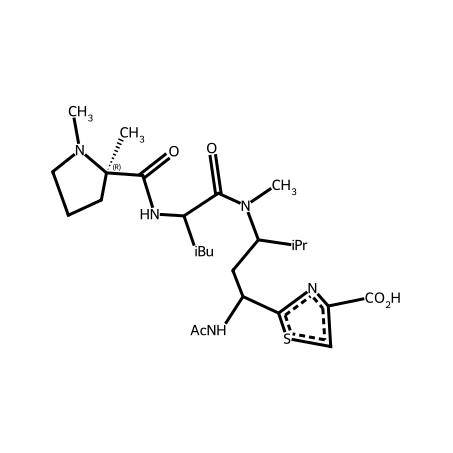 CCC(C)C(NC(=O)[C@@]1(C)CCCN1C)C(=O)N(C)C(CC(NC(C)=O)c1nc(C(=O)O)cs1)C(C)C